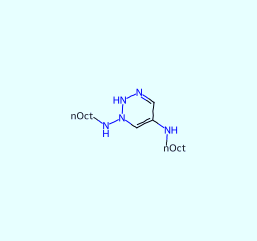 CCCCCCCCNC1=CN(NCCCCCCCC)NN=C1